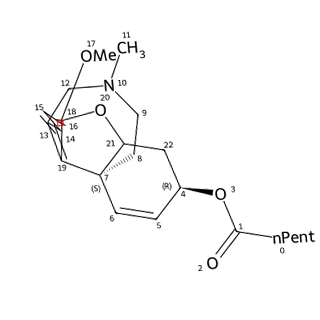 CCCCCC(=O)O[C@H]1C=C[C@@]23CCN(C)Cc4ccc(OC)c(c42)OC3C1